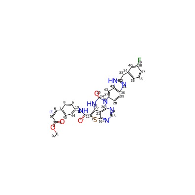 CCOC(=O)/C=C\c1ccc(NC(=O)c2sc3ncnc4c3c2NC(=O)N4c2ccc3nc(Cc4cccc(F)c4)[nH]c3c2)cc1